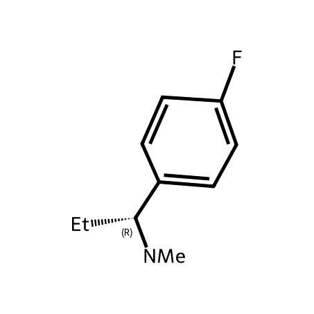 CC[C@@H](NC)c1ccc(F)cc1